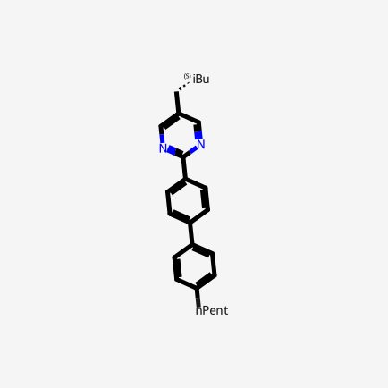 CCCCCc1ccc(-c2ccc(-c3ncc(C[C@@H](C)CC)cn3)cc2)cc1